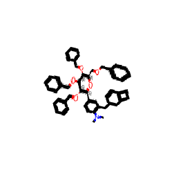 CN(C)c1ccc([C@@H]2O[C@H](COCc3ccccc3)[C@@H](OCc3ccccc3)[C@H](OCc3ccccc3)[C@H]2OCc2ccccc2)cc1Cc1ccc2c(c1)CC2